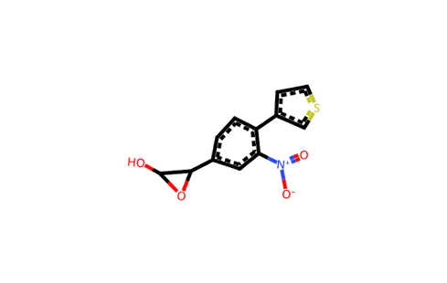 O=[N+]([O-])c1cc(C2OC2O)ccc1-c1ccsc1